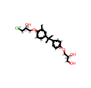 Cc1cc(C(C)(C)c2ccc(OC[C@@H](O)CO)cc2)ccc1OC[C@H](O)CCl